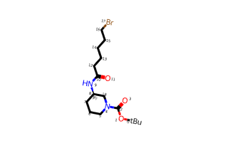 CC(C)(C)OC(=O)N1CCC[C@@H](NC(=O)CCCCCBr)C1